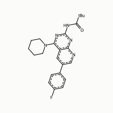 CC(C)(C)C(=O)Nc1nc(N2CCCCC2)c2cc(-c3ccc(F)cc3)cnc2n1